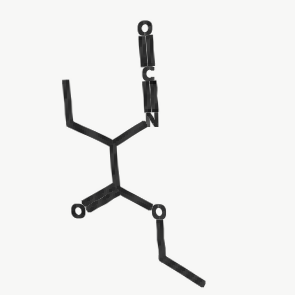 CCOC(=O)C(CC)N=C=O